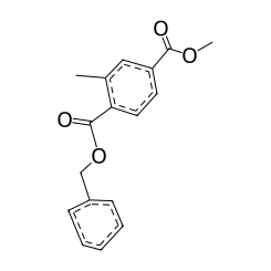 COC(=O)c1ccc(C(=O)OCc2ccccc2)c(C)c1